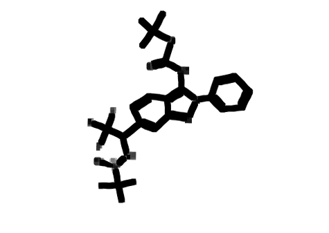 CC(C)(C)OC(=O)Nc1c2ccc(C(N[S@+]([O-])C(C)(C)C)C(F)(F)F)cc2nn1-c1ccccc1